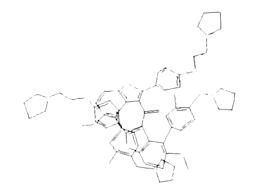 COc1ccc2sc(-c3ccc(OCCN4CCCC4)cc3)c(C(=O)c3c(-c4ccc(OCCN5CCCC5)cc4)sc4ccc(OC)c(-c5ccc(CN6CCCC6)c(Br)c5)c34)c2c1-c1ccc(CN2CCCC2)c(Br)c1